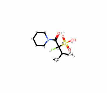 CC(C)C(F)(C(=O)N1CCCCC1)S(=O)(=O)O